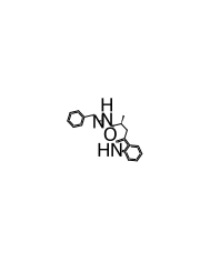 C[C@@H](Cc1c[nH]c2ccccc12)C(=O)N/N=C/c1ccccc1